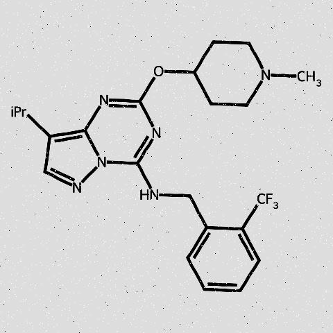 CC(C)c1cnn2c(NCc3ccccc3C(F)(F)F)nc(OC3CCN(C)CC3)nc12